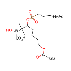 CC(=O)NCCCS(=O)(=O)OC(CCCCOC(=O)C(C)(C)C)C(C)(C)[C@@H](O)C(=O)O